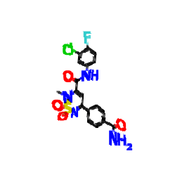 CN1C(C(=O)Nc2ccc(F)c(Cl)c2)=CC(c2ccc(C(N)=O)cc2)=NS1(=O)=O